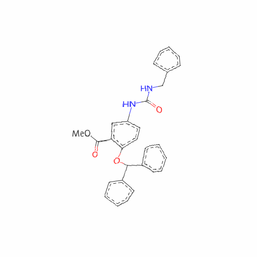 COC(=O)c1cc(NC(=O)NCc2ccccc2)ccc1OC(c1ccccc1)c1ccccc1